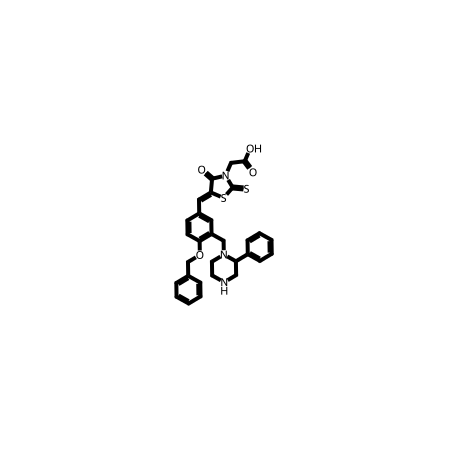 O=C(O)CN1C(=O)C(=Cc2ccc(OCc3ccccc3)c(CN3CCNCC3c3ccccc3)c2)SC1=S